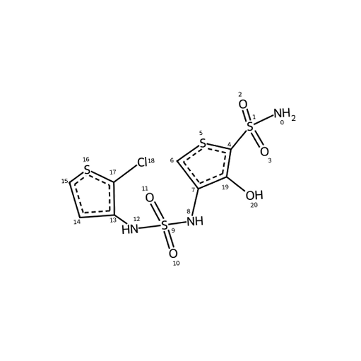 NS(=O)(=O)c1scc(NS(=O)(=O)Nc2ccsc2Cl)c1O